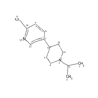 CC(C)N1CCC(c2ccc(Cl)nc2)CC1